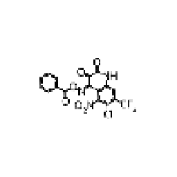 O=C1Nc2cc(C(F)(F)F)c(Cl)c([N+](=O)[O-])c2C(=NOC(=O)c2ccccc2)C1=O